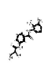 Cc1cccc(NC(=O)c2cccc(NC(=O)C(N)CS)c2)c1C